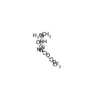 CN(C)CCNC(=O)c1cnc2c(c1)ncn2-c1ccc(OCc2ccc(OC(F)(F)F)cc2)cc1